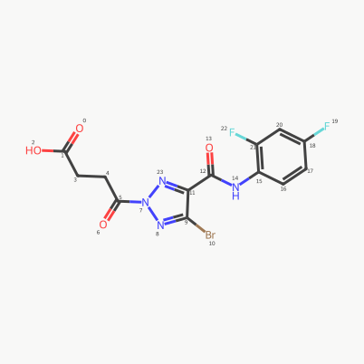 O=C(O)CCC(=O)n1nc(Br)c(C(=O)Nc2ccc(F)cc2F)n1